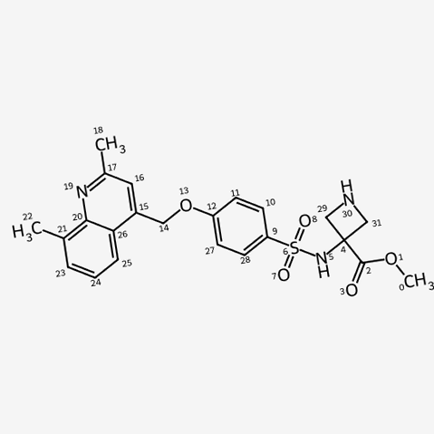 COC(=O)C1(NS(=O)(=O)c2ccc(OCc3cc(C)nc4c(C)cccc34)cc2)CNC1